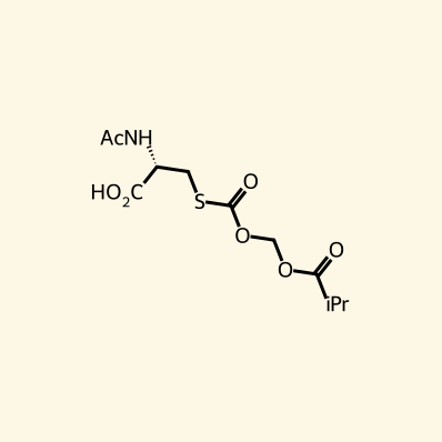 CC(=O)N[C@H](CSC(=O)OCOC(=O)C(C)C)C(=O)O